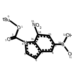 CC(C)(C)OC(=O)n1ccc2cc(B(O)O)cc([N+](=O)[O-])c21